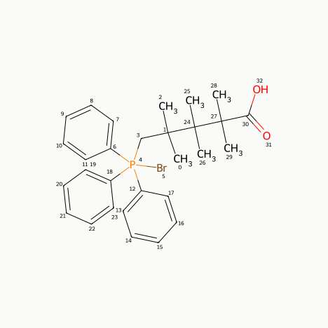 CC(C)(CP(Br)(c1ccccc1)(c1ccccc1)c1ccccc1)C(C)(C)C(C)(C)C(=O)O